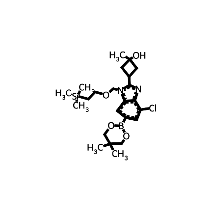 CC1(C)COB(c2cc(Cl)c3nc(C4CC(C)(O)C4)n(COCC[Si](C)(C)C)c3c2)OC1